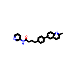 Cc1ccc2cc(-c3ccc(CCCC(=O)Nc4cccnc4)cc3)ccc2n1